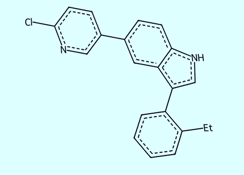 CCc1ccccc1-c1c[nH]c2ccc(-c3ccc(Cl)nc3)cc12